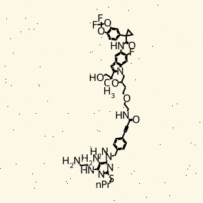 CCCSc1nc(NCCN)c(N)c(N(N)Cc2ccc(C#CC(=O)NCCOCCC3Cn4c(cc5cc(NC(=O)C6(c7ccc8c(c7)OC(F)(F)O8)CC6)c(F)cc54)C(C)(CO)O3)cc2)n1